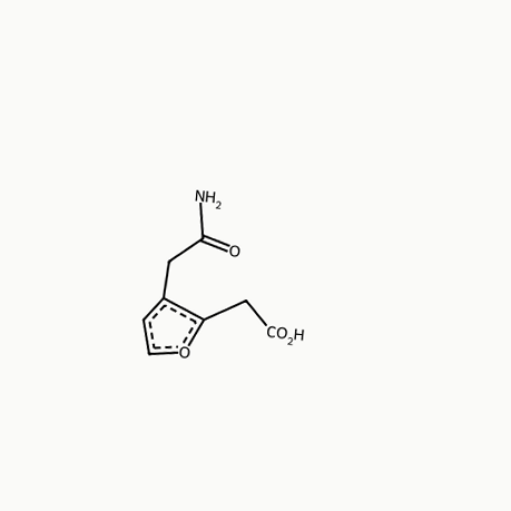 NC(=O)Cc1ccoc1CC(=O)O